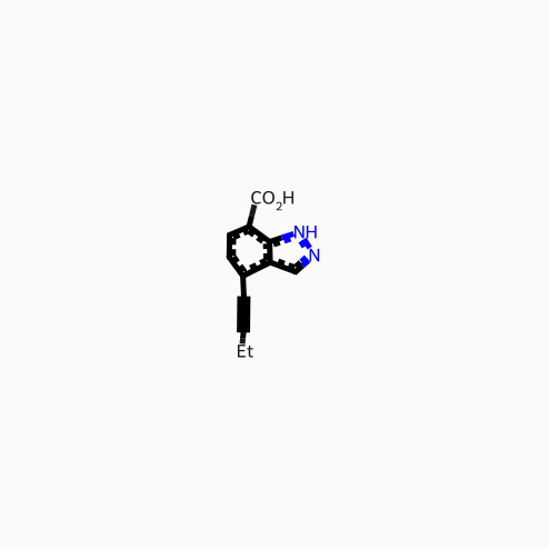 CCC#Cc1ccc(C(=O)O)c2[nH]ncc12